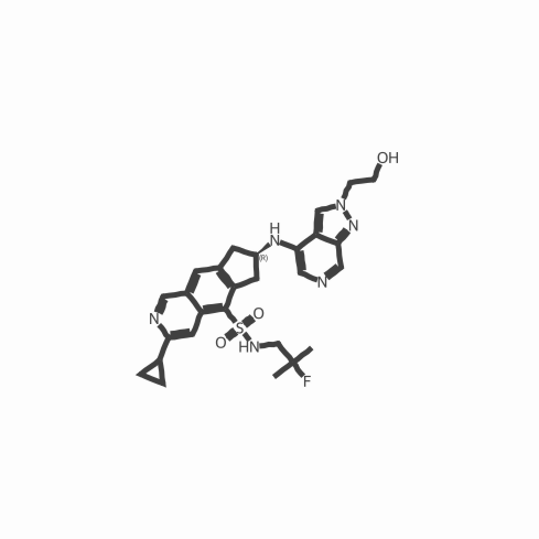 CC(C)(F)CNS(=O)(=O)c1c2c(cc3cnc(C4CC4)cc13)C[C@@H](Nc1cncc3nn(CCO)cc13)C2